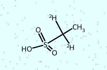 [2H]C([2H])(C)S(=O)(=O)O